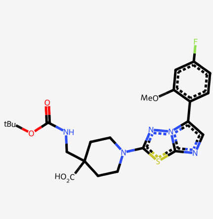 COc1cc(F)ccc1-c1cnc2sc(N3CCC(CNC(=O)OC(C)(C)C)(C(=O)O)CC3)nn12